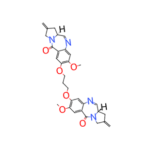 C=C1C[C@H]2C=Nc3cc(OCCCOc4cc5c(cc4OC)N=C[C@@H]4CC(=C)CN4C5=O)c(OC)cc3C(=O)N2C1